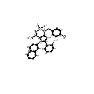 NC1=NS(=O)(=O)N(Cc2ccc(Cl)cc2)c2nc(-c3ccccc3F)n(-c3ccc4ccccc4c3)c21